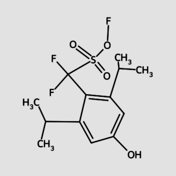 CC(C)c1cc(O)cc(C(C)C)c1C(F)(F)S(=O)(=O)OF